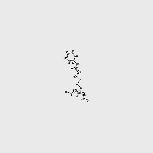 CCO[Si](C)(CCCSSNCc1ccccc1)OCC